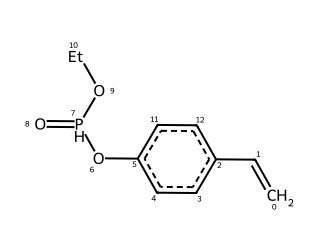 C=Cc1ccc(O[PH](=O)OCC)cc1